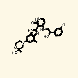 Cc1cc(N2CCOC(C)(O)C2)cc2[nH]c(-c3c(NCC(O)c4cccc(Cl)c4)cc[nH]c3=O)nc12